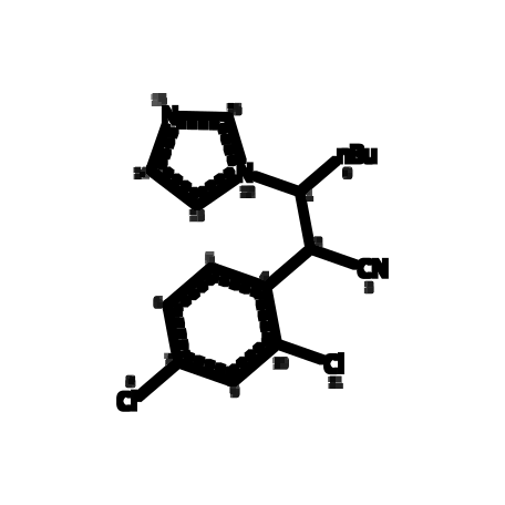 CCCCC(C(C#N)c1ccc(Cl)cc1Cl)n1ccnc1